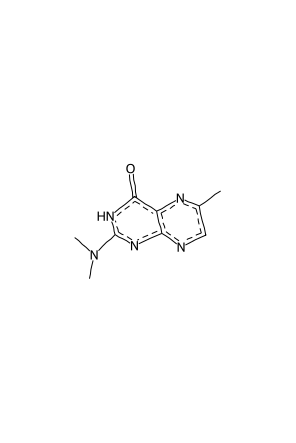 Cc1cnc2nc(N(C)C)[nH]c(=O)c2n1